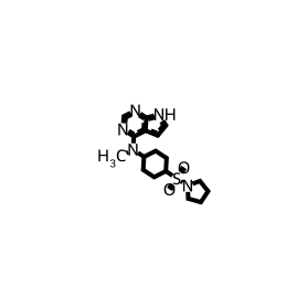 CN(c1ncnc2[nH]ccc12)C1CCC(S(=O)(=O)N2CCCC2)CC1